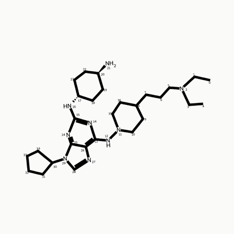 CCN(CC)CCCC1CCN(Nc2nc(N[C@H]3CC[C@H](N)CC3)nc3c2ncn3C2CCCC2)CC1